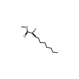 CCCCCCC/C=C(\F)C(=O)OC